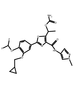 CC(OC(N)=O)c1oc(-c2ccc(OC(F)F)c(OCC3CC3)c2)nc1C(=O)Nc1cnn(C)c1